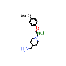 COc1ccc(OCCN2CCC(CN)CC2)cc1.Cl.Cl